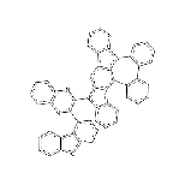 c1ccc2c(c1)-c1ccccc1-n1c3ccccc3c3cc4c(c-2c31)c1ccccc1n4-c1nc2ccccc2nc1-c1cccc2oc3ccccc3c12